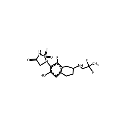 CC(F)(F)CNC1CCc2cc(O)c(N3CC(=O)NS3(=O)=O)c(F)c2C1